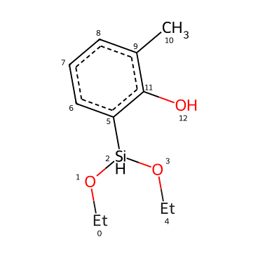 CCO[SiH](OCC)c1cccc(C)c1O